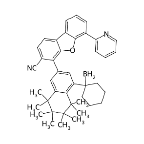 BC1(c2cc(-c3c(C#N)ccc4c3oc3c(-c5ccccn5)cccc34)cc3c2C(C)(C)C(C)(C)C(C)(C)C3(C)C)CCCCC1